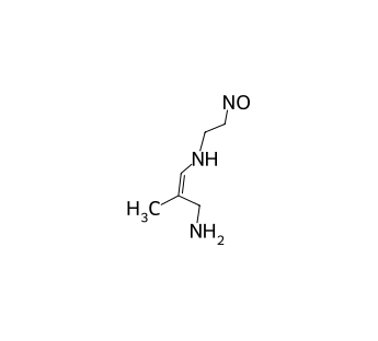 C/C(=C/NCCN=O)CN